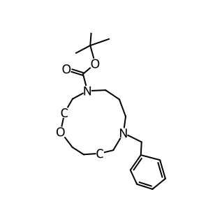 CC(C)(C)OC(=O)N1CCCN(Cc2ccccc2)CCCCOCC1